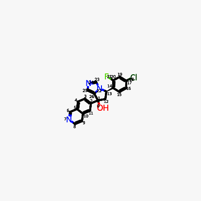 OC1(c2ccc3cnccc3c2)C[C@H](c2ccc(Cl)cc2F)n2cncc21